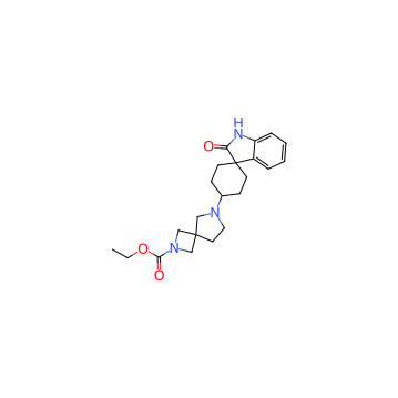 CCOC(=O)N1CC2(CCN(C3CCC4(CC3)C(=O)Nc3ccccc34)C2)C1